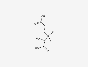 NC1(C(=O)O)CC1(F)CCC(=O)O